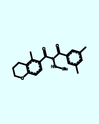 Cc1cc(C)cc(C(=O)N(NC(C)(C)C)C(=O)c2ccc3c(c2C)CCCO3)c1